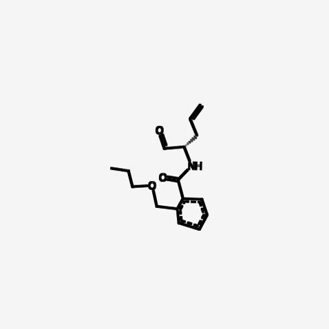 C=CC[C@@H](C=O)NC(=O)c1ccccc1COCCC